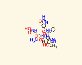 CC(C)(O)c1cnnn1[C@H]1C[C@@H](C(=O)NC(CCCCNC(=O)O)C(=O)C(N)=O)N(C(=O)[C@@H](CC2CCCCC2)NC(=O)c2ccc3c(=O)[nH]cnc3c2)C1